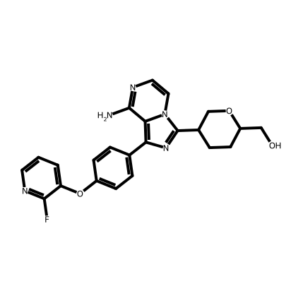 Nc1nccn2c(C3CCC(CO)OC3)nc(-c3ccc(Oc4cccnc4F)cc3)c12